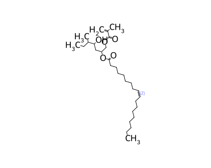 C=C(C)C(=O)OCC(CC(O)C(C)CC)OC(=O)CCCCCCC/C=C\CCCCCCCC